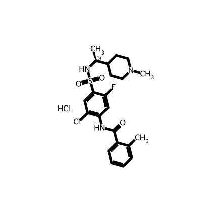 Cc1ccccc1C(=O)Nc1cc(F)c(S(=O)(=O)N[C@@H](C)C2CCN(C)CC2)cc1Cl.Cl